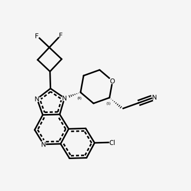 N#CC[C@@H]1C[C@H](n2c(C3CC(F)(F)C3)nc3cnc4ccc(Cl)cc4c32)CCO1